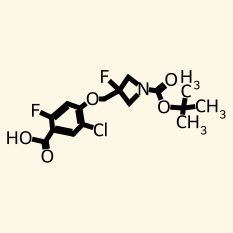 CC(C)(C)OC(=O)N1CC(F)(COc2cc(F)c(C(=O)O)cc2Cl)C1